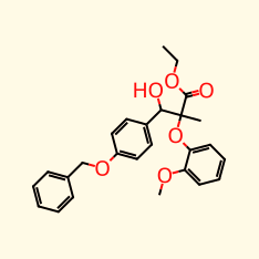 CCOC(=O)C(C)(Oc1ccccc1OC)C(O)c1ccc(OCc2ccccc2)cc1